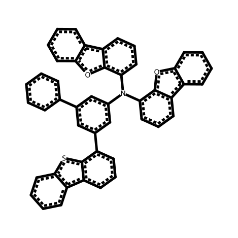 c1ccc(-c2cc(-c3cccc4c3sc3ccccc34)cc(N(c3cccc4c3oc3ccccc34)c3cccc4c3oc3ccccc34)c2)cc1